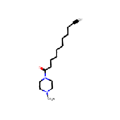 C#CCCCCCCCCC(=O)N1CCN(C(=O)O)CC1